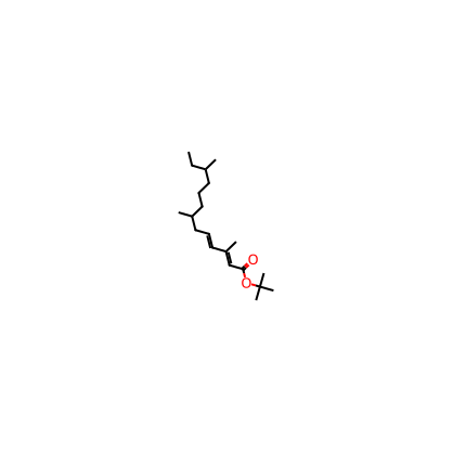 CCC(C)CCCC(C)C/C=C/C(C)=C/C(=O)OC(C)(C)C